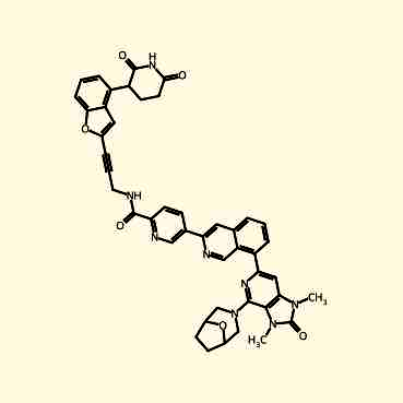 Cn1c(=O)n(C)c2c(N3CC4CCC(C3)O4)nc(-c3cccc4cc(-c5ccc(C(=O)NCC#Cc6cc7c(C8CCC(=O)NC8=O)cccc7o6)nc5)ncc34)cc21